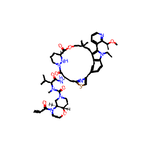 C=CC(=O)N1CCO[C@H]2CCN(C(=O)N(C)C(C(=O)N[C@H]3Cc4nc(cs4)-c4ccc5c(c4)c(c(-c4cccnc4[C@H](C)OC)n5CC)CC(C)(C)COC(=O)[C@@H]4CCCN(N4)C3=O)C(C)C)C[C@@H]21